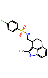 Cc1[nH]c2cccc3c2c1C(CNS(=O)(=O)c1ccc(Cl)cc1)CC3